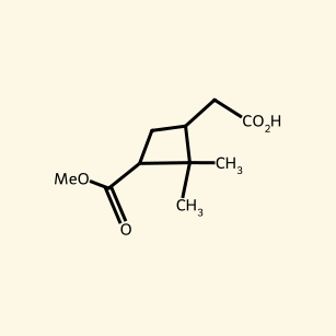 COC(=O)C1CC(CC(=O)O)C1(C)C